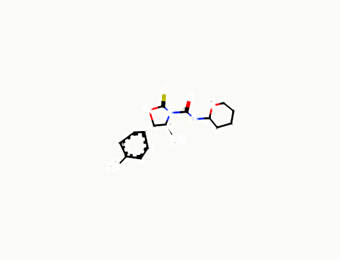 Cc1ccc([C@@H]2OC(=S)N(C(=O)NC3CCCCO3)[C@H]2C)cc1